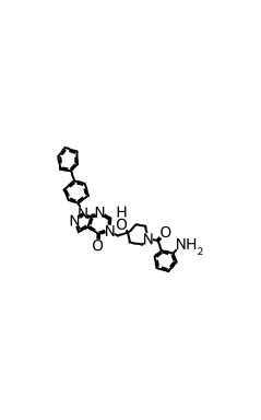 Nc1ccccc1C(=O)N1CCC(O)(Cn2cnc3c(cnn3-c3ccc(-c4ccccc4)cc3)c2=O)CC1